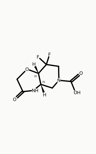 O=C1CO[C@H]2[C@H](CN(C(=O)O)CC2(F)F)N1